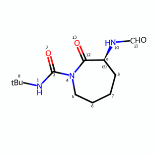 CC(C)(C)NC(=O)N1CCCC[C@H](NC=O)C1=O